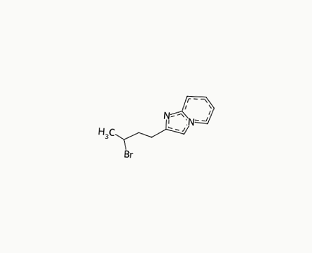 CC(Br)CCc1cn2ccccc2n1